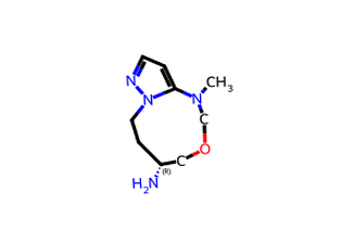 CN1COC[C@H](N)CCn2nccc21